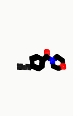 CNc1ccc(C(=O)N2CCOCC2)cc1